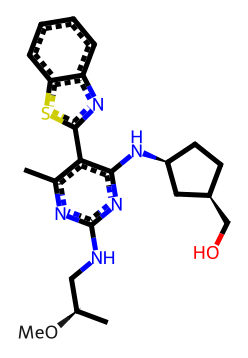 CO[C@H](C)CNc1nc(C)c(-c2nc3ccccc3s2)c(N[C@H]2CC[C@@H](CO)C2)n1